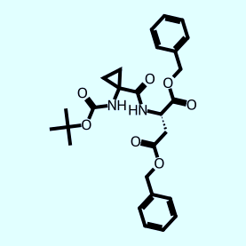 CC(C)(C)OC(=O)NC1(C(=O)N[C@@H](CC(=O)OCc2ccccc2)C(=O)OCc2ccccc2)CC1